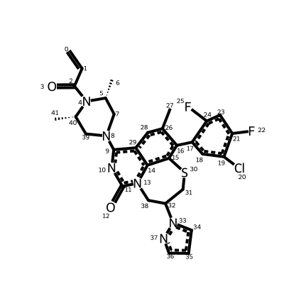 C=CC(=O)N1[C@H](C)CN(c2nc(=O)n3c4c(c(-c5cc(Cl)c(F)cc5F)c(C)cc24)SCC(n2cccn2)C3)C[C@@H]1C